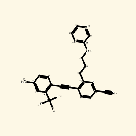 N#Cc1ccc(C#Cc2ccc(O)cc2C(F)(F)F)c(CCCOc2cnccn2)c1